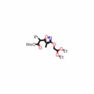 CCOC(COc1noc(C(C(=O)OC)C(C)C)c1C)OCC